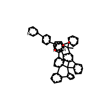 CC1(C)c2ccccc2-c2cc3c(cc21)-c1ccccc1C31c2ccccc2-c2ccccc2-c2ccc(-c3nc(-c4ccccc4)cc(-c4ccc(-c5cccnc5)cc4)n3)cc21